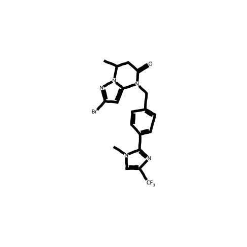 CC1CC(=O)N(Cc2ccc(-c3nc(C(F)(F)F)cn3C)cc2)c2cc(Br)nn21